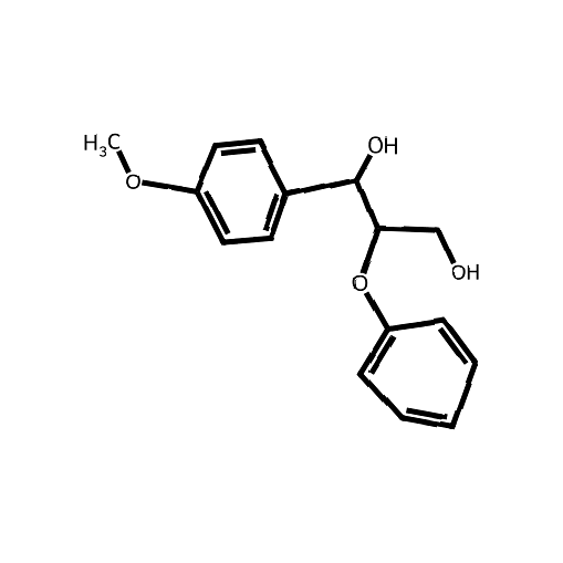 COc1ccc(C(O)C(CO)Oc2ccccc2)cc1